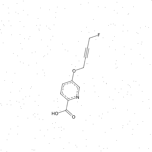 O=C(O)c1ccc(OCC#CCF)cn1